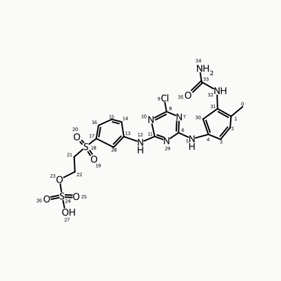 Cc1ccc(Nc2nc(Cl)nc(Nc3cccc(S(=O)(=O)CCOS(=O)(=O)O)c3)n2)cc1NC(N)=O